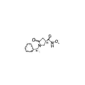 CONC(=O)[C@@H]1CC(=O)N([C@H](C)c2ccccc2)C1